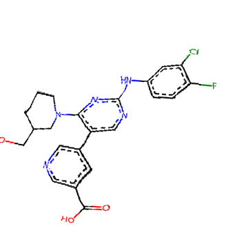 O=C(O)c1cncc(-c2cnc(Nc3ccc(F)c(Cl)c3)nc2N2CCCC(CO)C2)c1